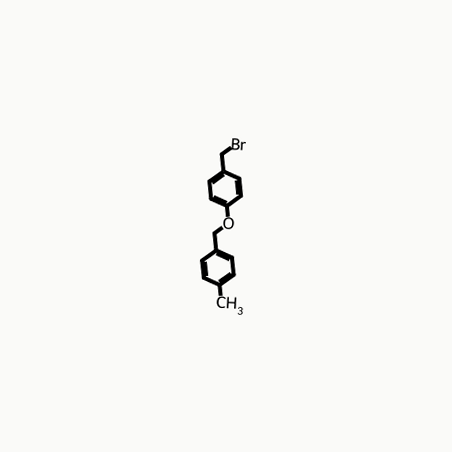 Cc1ccc(COc2ccc(CBr)cc2)cc1